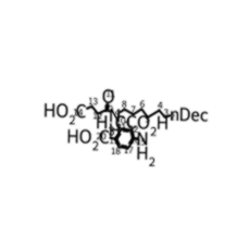 CC(=O)O.CCCCCCCCCCCCCCCCNC(=O)CCC(=O)O.Nc1ccc(C(=O)O)cc1